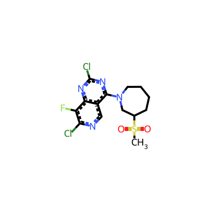 CS(=O)(=O)C1CCCCN(c2nc(Cl)nc3c(F)c(Cl)ncc23)C1